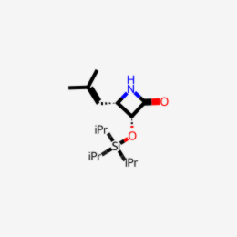 CC(C)=C[C@@H]1NC(=O)[C@@H]1O[Si](C(C)C)(C(C)C)C(C)C